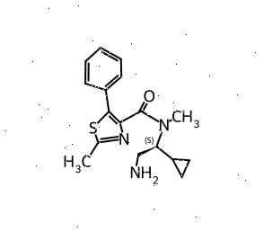 Cc1nc(C(=O)N(C)[C@H](CN)C2CC2)c(-c2ccccc2)s1